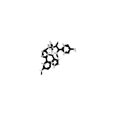 COc1cccc(-c2nnc(NS(=O)(=O)C(C)C(OC)c3ncc(Cl)cn3)n2Cc2ccno2)n1